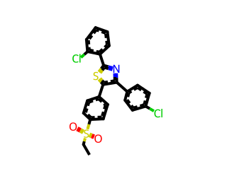 CCS(=O)(=O)c1ccc(-c2sc(-c3ccccc3Cl)nc2-c2ccc(Cl)cc2)cc1